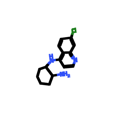 NC1CCCCC1Nc1ccnc2cc(Cl)ccc12